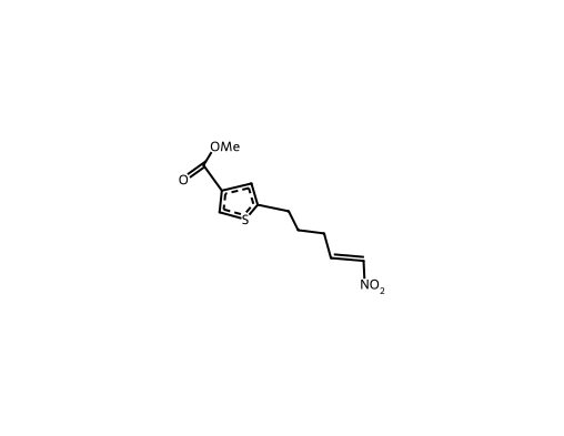 COC(=O)c1csc(CCCC=C[N+](=O)[O-])c1